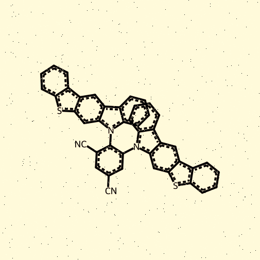 N#Cc1cc(C#N)c(-n2c3ccccc3c3cc4c(cc32)sc2ccccc24)c(-n2c3ccccc3c3cc4c(cc32)sc2ccccc24)c1